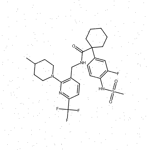 CC1CCN(c2nc(C(F)(F)F)ccc2CNC(=O)C2(c3ccc(NS(C)(=O)=O)c(F)c3)CCCCC2)CC1